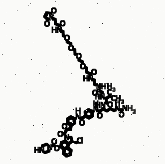 CC(C)[C@H](NCC(=O)NCCNC(=O)CCOCCOCCOCCOCCNC(=O)CCN1C(=O)C=CC1=O)C(=O)NC(CCCNC(N)=O)C(=O)Nc1ccc(C(=O)Nc2ccc3oc(C(=O)N4C[C@@H](CCl)c5c4cc(OC(=O)N4CCNCC4)c4ccccc54)cc3c2)cc1